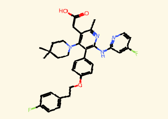 Cc1nc(Nc2cc(F)ccn2)c(-c2ccc(OCCc3ccc(F)cc3)cc2)c(N2CCC(C)(C)CC2)c1CC(=O)O